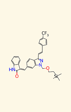 C[Si](C)(C)CCOCn1nc(/C=C/c2ccc(C(F)(F)F)cc2)c2ccc(/C=C3/C(=O)Nc4ccccc43)cc21